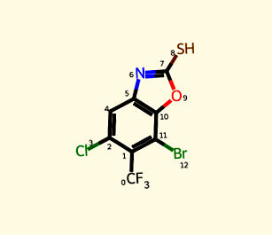 FC(F)(F)c1c(Cl)cc2nc(S)oc2c1Br